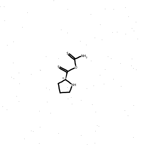 NC(=S)OC(=S)[C@@H]1CCCN1